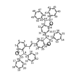 C(=C\c1cccc2c1C(c1ccccc1)C(c1ccccc1)O2)/c1ccc2c(c1)C(c1ccc3c(c1)OC(c1ccccc1)C3c1ccccc1)C(c1ccccc1)O2